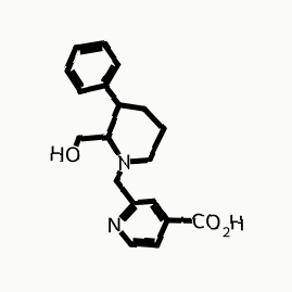 O=C(O)c1ccnc(CN2CCCC(c3ccccc3)C2CO)c1